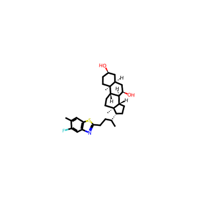 Cc1cc2sc(CCC(C)[C@H]3CC[C@H]4[C@@H]5[C@H](O)C[C@@H]6C[C@H](O)CC[C@]6(C)[C@H]5CC[C@]34C)nc2cc1F